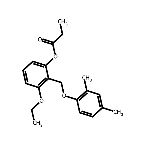 CCOc1cccc(OC(=O)CC)c1COc1ccc(C)cc1C